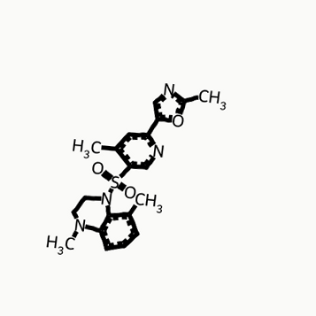 Cc1ncc(-c2cc(C)c(S(=O)(=O)N3CCN(C)c4cccc(C)c43)cn2)o1